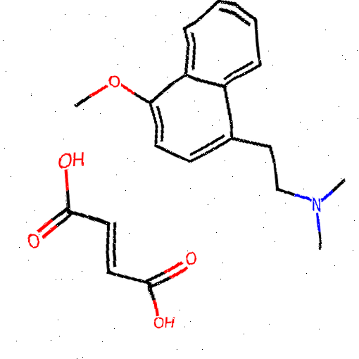 COc1ccc(CCN(C)C)c2ccccc12.O=C(O)/C=C/C(=O)O